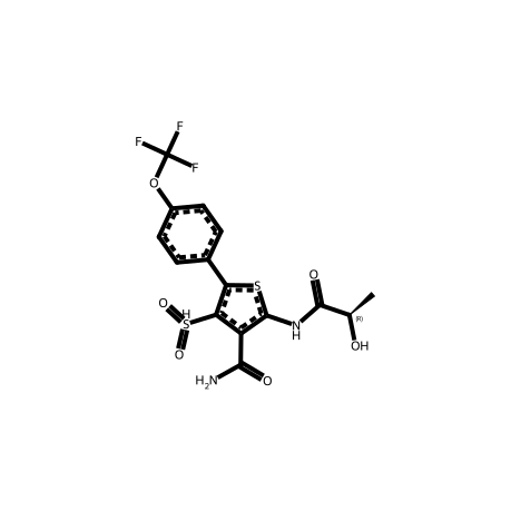 C[C@@H](O)C(=O)Nc1sc(-c2ccc(OC(F)(F)F)cc2)c([SH](=O)=O)c1C(N)=O